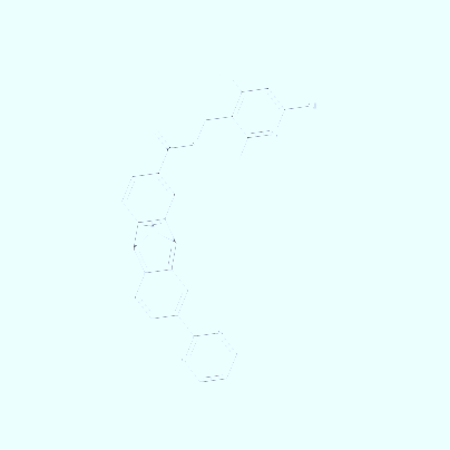 Cc1cc(N)nc(C)c1CNC(=O)c1ccc2c(c1)c1oc2c2ccc(-c3ncccn3)cc21